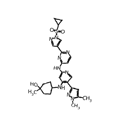 Cc1cc(-c2cnc(Nc3ccnc(-c4cnn(S(=O)(=O)C5CC5)c4)n3)cc2NC2CCC(C)(O)CC2)nn1C